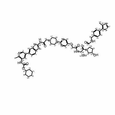 Cc1ncc(-c2ccc3nc(NC(=O)CN4CCN(c5ncc(OCC(=O)N[C@H](C(=O)N6C[C@H](O)C[C@H]6C(=O)NCc6ccc(-c7scnc7C)cc6)C(C)(C)C)cn5)CC4)sc3c2)cc1NC(=O)OC1CCCCC1